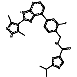 Cc1n[nH]c(C)c1-c1nc2c(-c3ccc(CNC(=O)c4cnc(C(C)C)s4)c(F)c3)ccnc2[nH]1